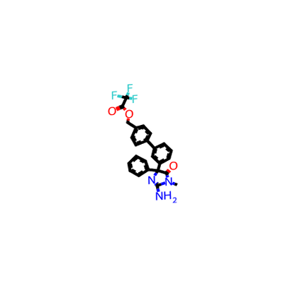 CN1C(=O)C(c2ccccc2)(c2cccc(-c3ccc(COC(=O)C(F)(F)F)cc3)c2)N=C1N